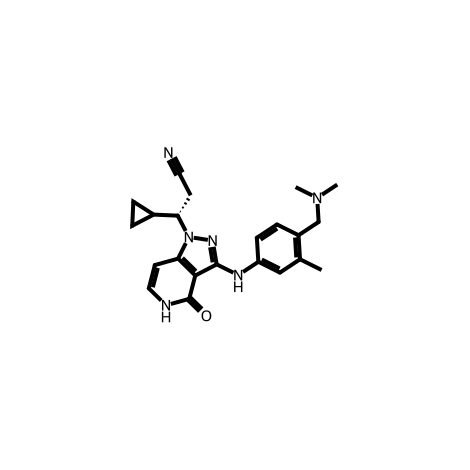 Cc1cc(Nc2nn([C@@H](CC#N)C3CC3)c3cc[nH]c(=O)c23)ccc1CN(C)C